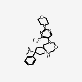 CN(C)[C@]1(c2ccccc2)CC[C@]2(CC1)CN(c1cnc(N3CCOCC3)nc1C(F)(F)F)COCN2